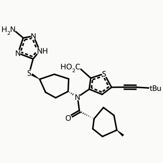 CC(C)(C)C#Cc1cc(N(C(=O)[C@H]2CC[C@H](C)CC2)[C@H]2CC[C@H](Sc3nc(N)n[nH]3)CC2)c(C(=O)O)s1